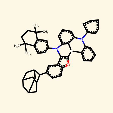 CC1(C)CCC(C)(C)c2cc(N3c4cccc5c4B(c4ccccc4N5c4ccccc4)c4oc5ccc(C6C7CC8CC(C7)CC6C8)cc5c43)ccc21